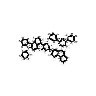 CCC1C([C@@H]2Cc3ccccc3-c3ccc(-c4ccc5c(c4)Oc4cc6c(c7cccc-5c47)c4ccccc4n6-c4ccccc4)cc32)=NC(c2ccccc2)=NC1c1ccccc1